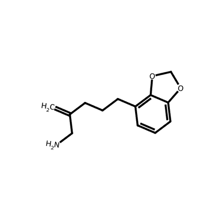 C=C(CN)CCCc1cccc2c1OCO2